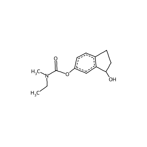 CCN(C)C(=O)Oc1ccc2c(c1)C(O)CC2